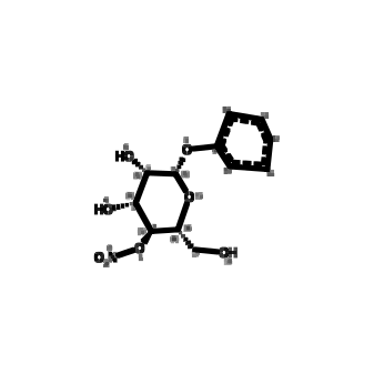 O=[N+]([O-])O[C@H]1[C@H](O)[C@H](O)[C@H](Oc2ccccc2)O[C@@H]1CO